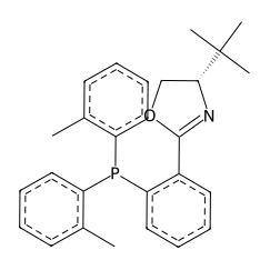 Cc1ccccc1P(c1ccccc1C)c1ccccc1C1=N[C@@H](C(C)(C)C)CO1